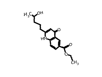 CCOC(=O)c1ccc2[nH]c(CCCC(C)O)cc(=O)c2c1